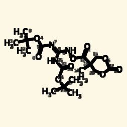 CC(C)(C)OC(=O)/N=C(/NOC(=O)C1(C)COC(=O)OC1)NC(=O)OC(C)(C)C